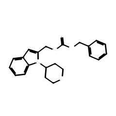 O=C(NCc1cc2ccccc2n1C1CCNCC1)OCc1ccccc1